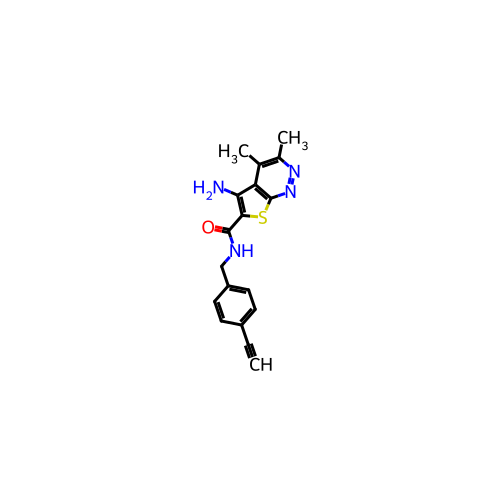 C#Cc1ccc(CNC(=O)c2sc3nnc(C)c(C)c3c2N)cc1